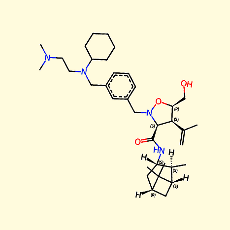 C=C(C)[C@@H]1[C@H](CO)ON(Cc2cccc(CN(CCN(C)C)C3CCCCC3)c2)[C@@H]1C(=O)N[C@H]1C[C@H]2C[C@@H]([C@@H]1C)C2(C)C